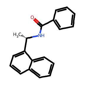 C[C@H](NC(=O)c1ccccc1)c1cccc2ccccc12